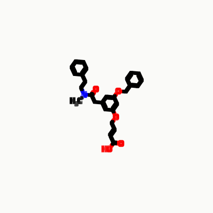 CN(CCc1ccccc1)C(=O)Cc1cc(OCC=CC(=O)O)cc(OCc2ccccc2)c1